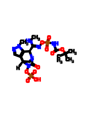 CN/C(=N\OS(=O)(=O)NC(=O)OC(C)(C)C)[C@@H]1c2c(cnn2C)[C@@H]2CN1C(=O)N2OS(=O)(=O)O